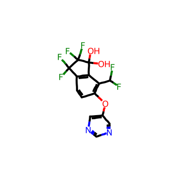 OC1(O)c2c(ccc(Oc3cncnc3)c2C(F)F)C(F)(F)C1(F)F